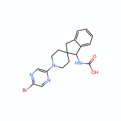 O=C(O)NC1c2ccccc2CC12CCN(c1cnc(Br)cn1)CC2